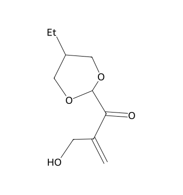 C=C(CO)C(=O)C1OCC(CC)CO1